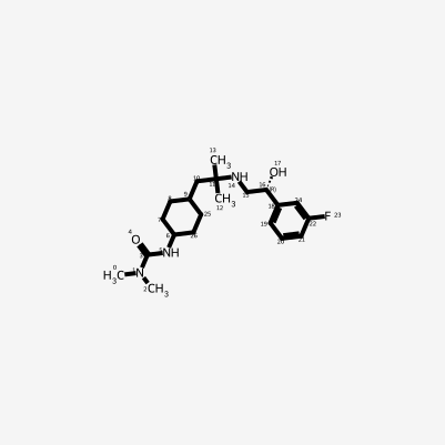 CN(C)C(=O)NC1CCC(CC(C)(C)NC[C@H](O)c2cccc(F)c2)CC1